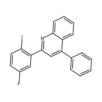 Fc1ccc(I)c(-c2cc(-c3ccccc3)c3ccccc3n2)c1